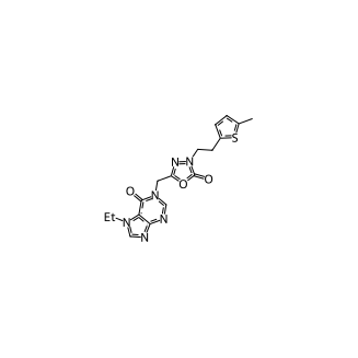 CCn1cnc2ncn(Cc3nn(CCc4ccc(C)s4)c(=O)o3)c(=O)c21